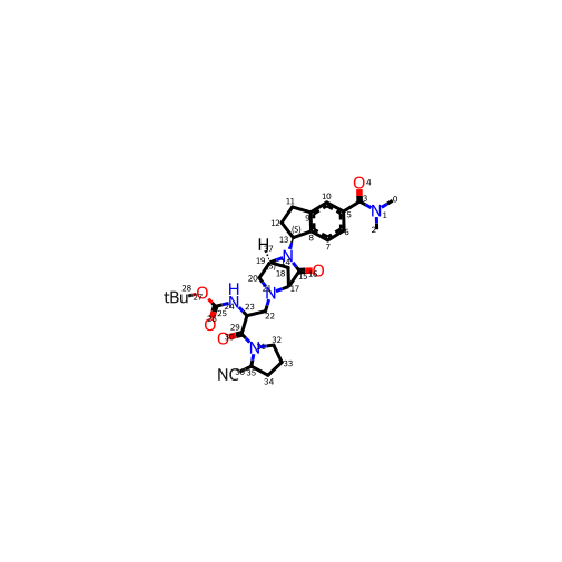 CN(C)C(=O)c1ccc2c(c1)CC[C@@H]2N1C(=O)C2C[C@H]1CN2CC(NC(=O)OC(C)(C)C)C(=O)N1CCCC1C#N